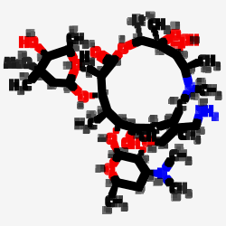 CC[C@H]1OC(=O)[C@H](C)[C@@H](OC2C[C@@](C)(OC)[C@@H](O)[C@H](C)O2)[C@H](C)[C@@H](O[C@@H]2O[C@H](C)C[C@H](N(C)C)[C@H]2OCCCN)[C@](C)(O)C[C@@H](C)CN(C)[C@H](C)[C@@H](O)[C@]1(C)O